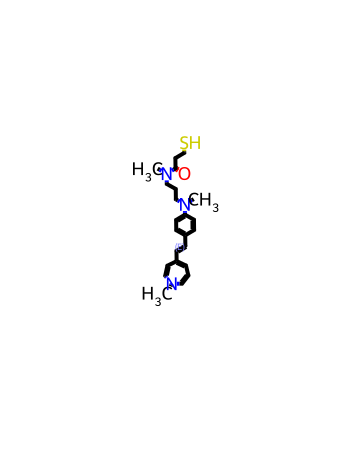 CN1C=CC=C(/C=C/c2ccc(N(C)CCCN(C)C(=O)CCS)cc2)C=C1